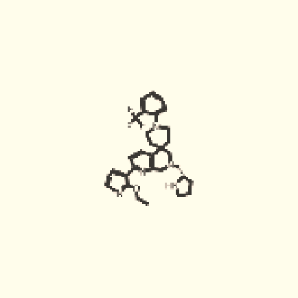 CCOc1ncccc1-c1ccc2c(n1)CN(C[C@@H]1CCCN1)CC21CCN(c2ccccc2C(F)(F)F)CC1